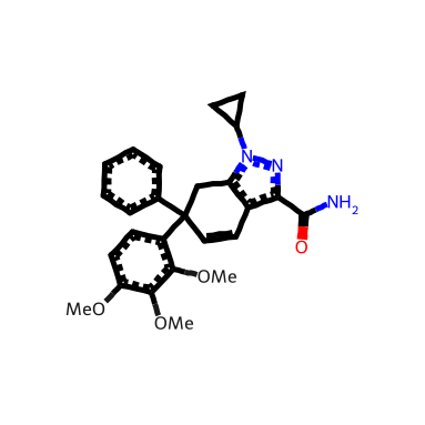 COc1ccc(C2(c3ccccc3)C=Cc3c(C(N)=O)nn(C4CC4)c3C2)c(OC)c1OC